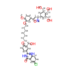 COc1ccc(-c2cc(-c3cc(CO)c(CO)c(CO)c3)no2)cc1OCCCCCCCOc1ccc(C2NC(=O)c3cc(Cl)ccc3N2)cc1CO